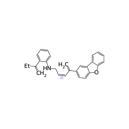 C=C(/C=C\CNc1ccccc1C(=C)CC)c1ccc2oc3ccccc3c2c1